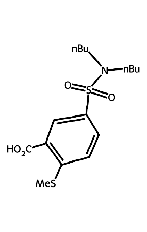 CCCCN(CCCC)S(=O)(=O)c1ccc(SC)c(C(=O)O)c1